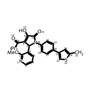 COc1ncccc1C1C(C(=O)C(C)C)=C(O)C(=O)N1c1ccc(-c2csc(C)c2)cc1